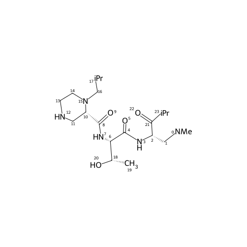 CNC[C@H](NC(=O)[C@@H](NC(=O)[C@@H]1CNCCN1CC(C)C)[C@H](C)O)C(=O)C(C)C